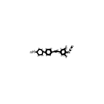 CCCC1CCC(c2ccc(C#Cc3cc(F)c(N=C=S)c(F)c3)cc2)CC1